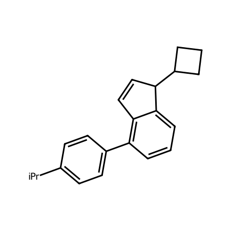 CC(C)c1ccc(-c2cccc3c2C=CC3C2CCC2)cc1